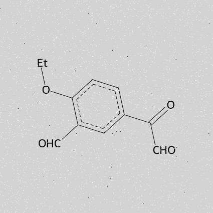 CCOc1ccc(C(=O)C=O)cc1C=O